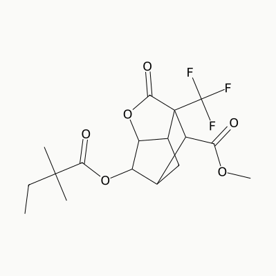 CCC(C)(C)C(=O)OC1C2CC3C1OC(=O)C3(C(F)(F)F)C2C(=O)OC